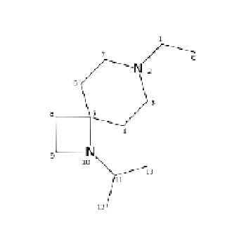 CCN1CCC2(CC1)CCN2C(C)C